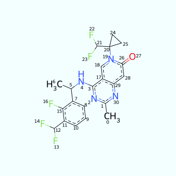 Cc1nc(NC(C)c2cccc(C(F)F)c2F)c2cn(C3(C(F)F)CC3)c(=O)cc2n1